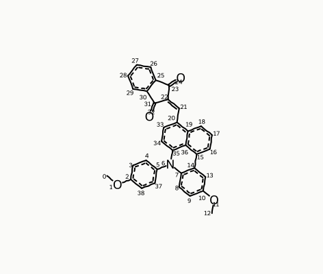 COc1ccc(N2c3ccc(OC)cc3-c3cccc4c(C=C5C(=O)c6ccccc6C5=O)ccc2c34)cc1